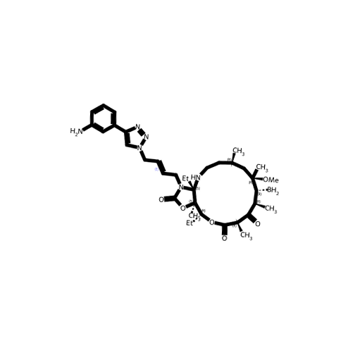 B[C@@H]1[C@@H](C)C(=O)[C@@H](C)C(=O)O[C@H](CC)[C@@]2(C)OC(=O)N(C/C=C/Cn3cc(-c4cccc(N)c4)nn3)[C@]2(CC)NCC[C@@H](C)C[C@@]1(C)OC